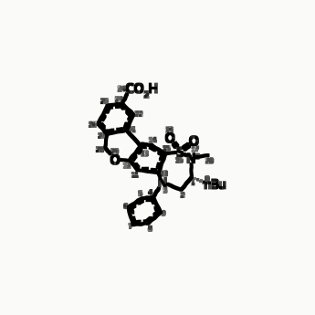 CCCC[C@@H]1CN(c2ccccc2)c2cc3c(cc2S(=O)(=O)N1C)-c1cc(C(=O)O)ccc1CO3